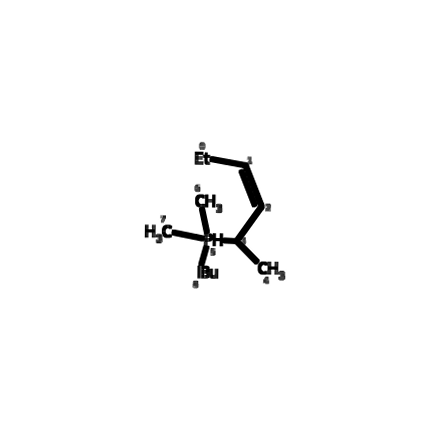 CC/C=C\C(C)[PH](C)(C)C(C)CC